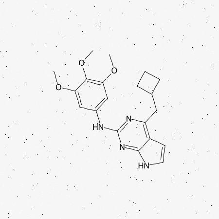 COc1cc(Nc2nc(CC3CCC3)c3cc[nH]c3n2)cc(OC)c1OC